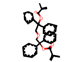 C=C(C)C(=O)OC(COCC(OC(=O)C(=C)C)(c1ccccc1)c1ccccc1)(c1ccccc1)c1ccccc1